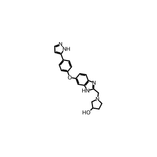 OC1CCN(Cc2nc3ccc(Oc4ccc(-c5ccn[nH]5)cc4)cc3[nH]2)C1